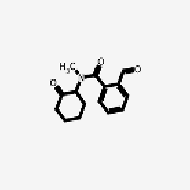 CN(C(=O)c1ccccc1C=O)C1CCCCC1=O